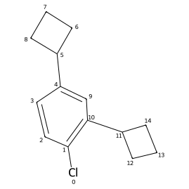 Clc1ccc(C2CCC2)cc1C1CCC1